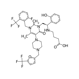 C=C1N(C[C@H](NCCCC(=O)O)c2ccccc2O)C(=O)C(N2CCN(Cc3ccc(C(F)(F)F)o3)CC2)=C(C)N1Cc1c(F)cccc1C(F)(F)F